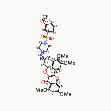 COc1cc(OC)c2c(=O)c(OCCCCN3CCN(S(=O)(=O)c4cccc(OC(F)(F)F)c4)CC3)c(-c3cc(OC)c(OC)c(OC)c3)oc2c1